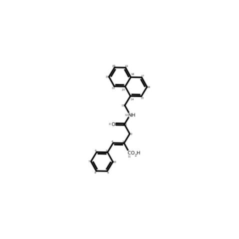 O=C(CC(=Cc1ccccc1)C(=O)O)NCc1cccc2ccccc12